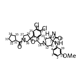 COc1cccc(NC2(C(N)=O)CCN(CCOC3(c4ccc(Cl)c(Cl)c4)CCN(C(=O)C4CCCC4)C3)CC2)c1